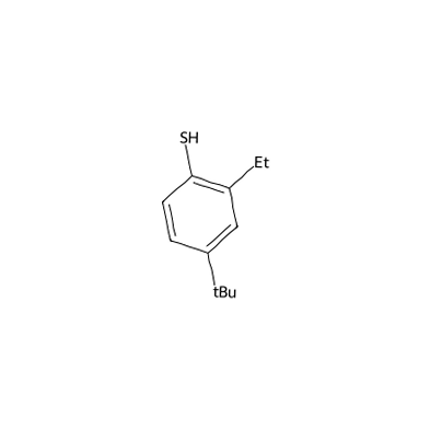 CCc1cc(C(C)(C)C)ccc1S